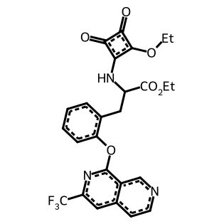 CCOC(=O)C(Cc1ccccc1Oc1nc(C(F)(F)F)cc2ccncc12)Nc1c(OCC)c(=O)c1=O